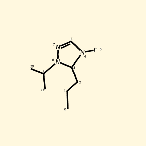 CCCC1N(F)C=NN1C(C)C